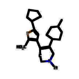 CCN1CCC(c2cc(C3CCCC3)sc2C(=O)O)=C(C2CCC(C)CC2)C1